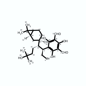 CC(C)C[C@H](c1c(O)c(C=O)c(O)c(C=O)c1O)[C@H](CCC(C)(C)O)[C@]1(C)CCC2[C@@H](C1)C2(C)C